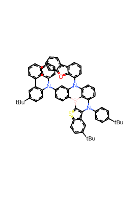 CC(C)(C)c1ccc(N2c3cccc4c3B(c3ccc(N(c5ccccc5)c5ccc(C(C)(C)C)cc5-c5ccccc5)cc3N4c3cccc4c3oc3ccccc34)c3sc4ccc(C(C)(C)C)cc4c32)cc1